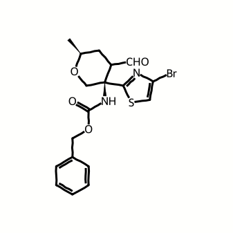 C[C@H]1CC(C=O)[C@](NC(=O)OCc2ccccc2)(c2nc(Br)cs2)CO1